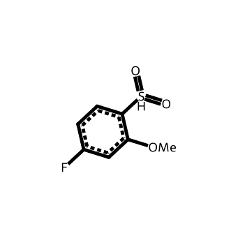 COc1cc(F)ccc1[SH](=O)=O